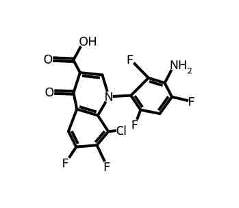 Nc1c(F)cc(F)c(-n2cc(C(=O)O)c(=O)c3cc(F)c(F)c(Cl)c32)c1F